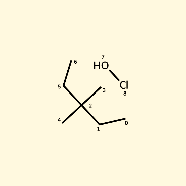 CCC(C)(C)CC.OCl